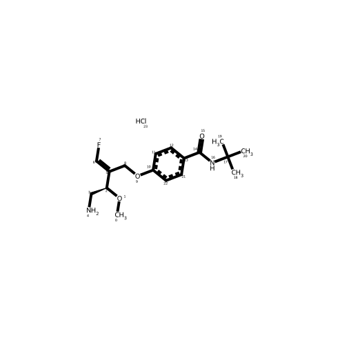 CO[C@@H](CN)/C(=C/F)COc1ccc(C(=O)NC(C)(C)C)cc1.Cl